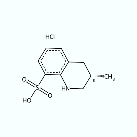 C[C@@H]1CNc2c(cccc2S(=O)(=O)O)C1.Cl